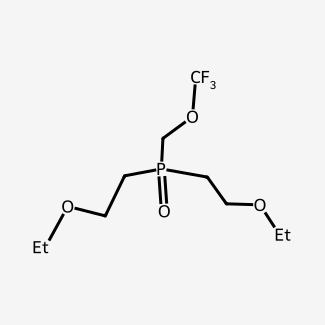 CCOCCP(=O)(CCOCC)COC(F)(F)F